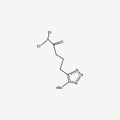 CCCCc1nnnn1CCCC(=O)N(CC)CC